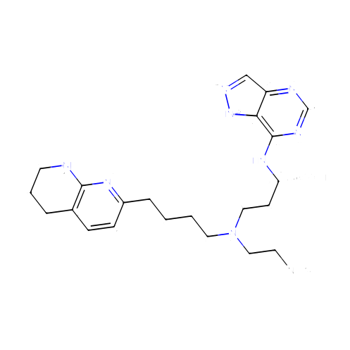 CC(=O)NCCN(CCCCc1ccc2c(n1)NCCC2)CC[C@H](Nc1ncnc2cn[nH]c12)C(=O)O